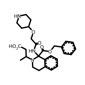 CC(CC(=O)O)N1CCc2ccccc2C1(NC(=O)COC1CCNCC1)C(=O)OCc1ccccc1